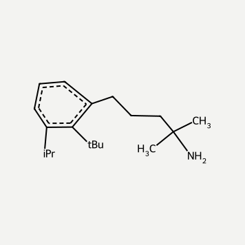 CC(C)c1cccc(CCCC(C)(C)N)c1C(C)(C)C